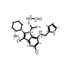 N[C@@H]1CCCC[C@H]1c1c(Cl)c2nc(Cl)cc(NCc3cccs3)c2n1C(F)F.O=CO